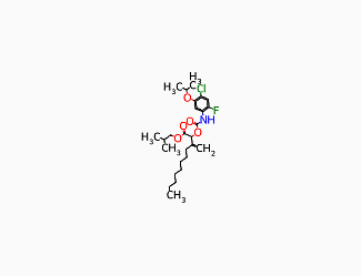 C=C(CCCCCCCC)C(OC(=O)Nc1cc(OC(C)C)c(Cl)cc1F)C(=O)OCC(C)C